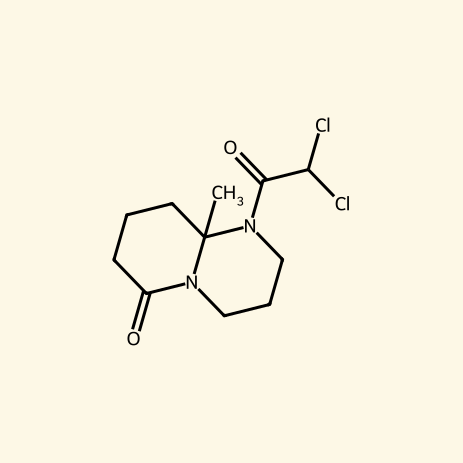 CC12CCCC(=O)N1CCCN2C(=O)C(Cl)Cl